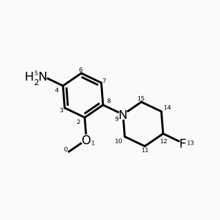 COc1cc(N)ccc1N1CCC(F)CC1